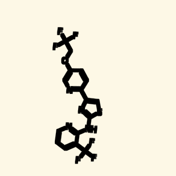 FC(F)(F)COc1ccc(-c2csc(Nc3ncccc3C(F)(F)F)n2)nc1